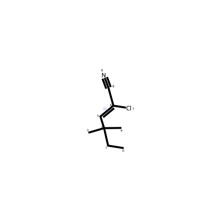 CCC(C)(C)/C=C(\Cl)C#N